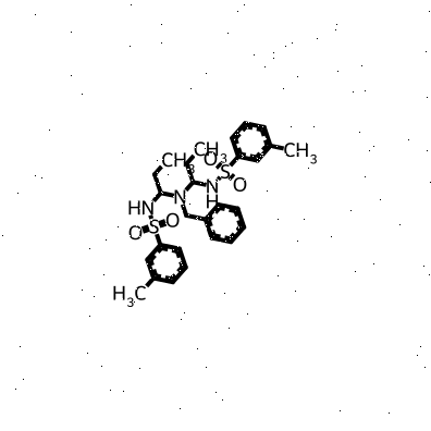 CCC(NS(=O)(=O)c1cccc(C)c1)N(Cc1ccccc1)C(CC)NS(=O)(=O)c1cccc(C)c1